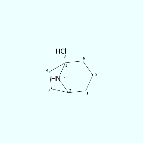 C1CC2CCC(C1)N2.Cl